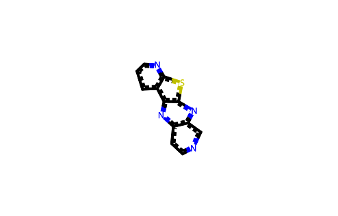 c1cnc2sc3nc4cnccc4nc3c2c1